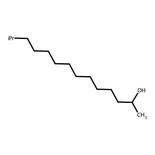 CC(C)CCCCCCCCCCC(C)O